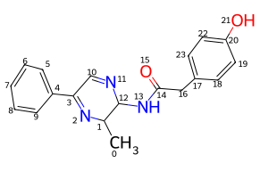 CC1N=C(c2ccccc2)C=NC1NC(=O)Cc1ccc(O)cc1